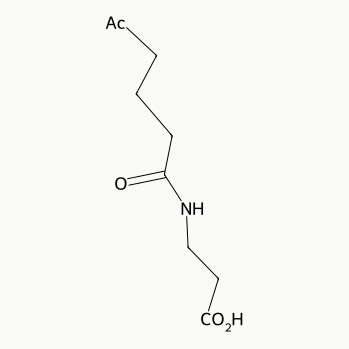 CC(=O)CCCC(=O)NCCC(=O)O